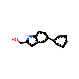 OCc1cc2cc(-c3ccccc3)ccc2[nH]1